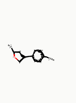 COc1ccc(C2[CH]OC(C)C2)cc1